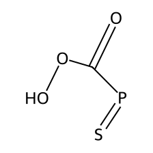 O=C(OO)P=S